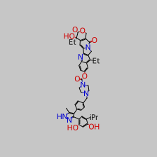 CCc1c2c(nc3ccc(OC(=O)N4CCN(Cc5ccc(-c6c(-c7cc(C(C)C)c(O)cc7O)n[nH]c6C)cc5)CC4)cc13)-c1cc3c(c(=O)n1C2)COC(=O)[C@]3(O)CC